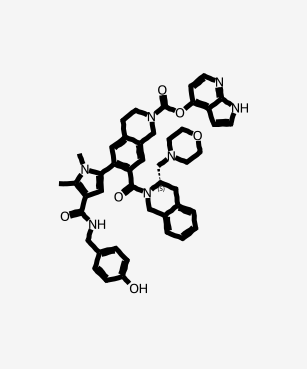 Cc1c(C(=O)NCc2ccc(O)cc2)cc(-c2cc3c(cc2C(=O)N2Cc4ccccc4C[C@H]2CN2CCOCC2)CN(C(=O)Oc2ccnc4[nH]ccc24)CC3)n1C